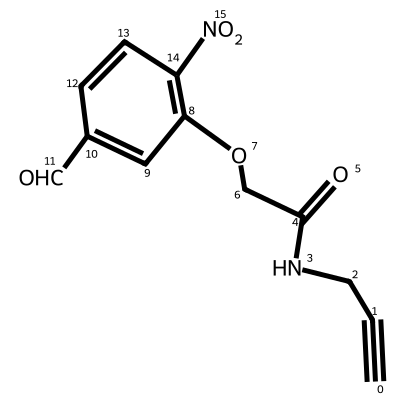 C#CCNC(=O)COc1cc(C=O)ccc1[N+](=O)[O-]